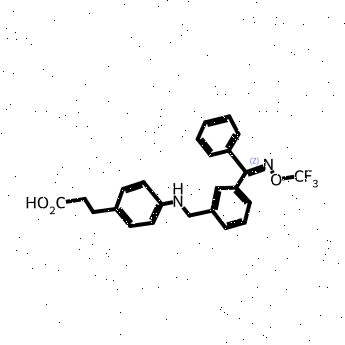 O=C(O)CCc1ccc(NCc2cccc(/C(=N\OC(F)(F)F)c3ccccc3)c2)cc1